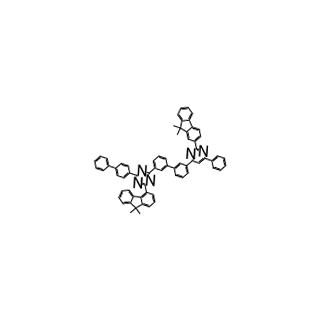 CC1(C)c2ccccc2-c2ccc(-c3nc(-c4ccccc4)cc(-c4cccc(-c5cccc(-c6nc(-c7ccc(-c8ccccc8)cc7)nc(-c7cccc8c7-c7ccccc7C8(C)C)n6)c5)c4)n3)cc21